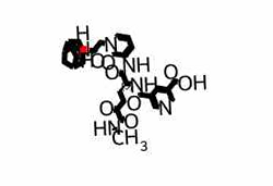 CNC(=O)C(=O)CC[C@H](NC(=O)c1cncc(C(=O)O)c1)C(=O)Nc1cccn(CC(=O)N[C@H]2C3CC4CC(C3)C2C4)c1=O